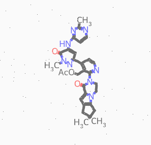 CC(=O)OCc1c(-c2cc(Nc3ccnc(C)n3)c(=O)n(C)n2)ccnc1N1CCn2c(cc3c2CC(C)(C)C3)C1=O